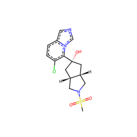 CS(=O)(=O)N1C[C@@H]2C[C@@](O)(c3c(Cl)ccc4cncn34)C[C@@H]2C1